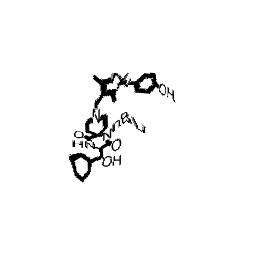 CCCCN1C(=O)[C@@H]([C@H](O)C2CCCCC2)NC(=O)C12CCN(Cc1c(C)nn(-c3ccc(O)cc3)c1C)CC2